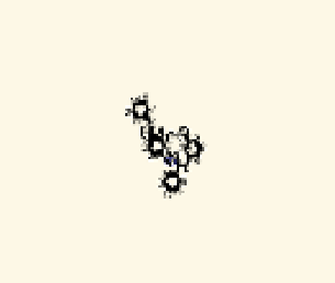 COc1cccc(CC(/N=C/c2ccc(OCc3ccccc3)cc2)c2ccccc2)c1